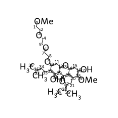 COCCOCCOCCOc1cc2oc3cc(O)c(OC)c(CC=C(C)C)c3c(=O)c2c(O)c1CC=C(C)C